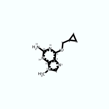 Cn1cnc2c(OCC3CC3)nc(N)nc21